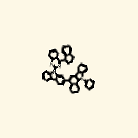 c1ccc(-n2c3ccccc3c3cc(-c4ccc5c6ccccc6n(-c6nc(-c7cccc8ccccc78)c7ccccc7n6)c5c4)c4ccccc4c32)cc1